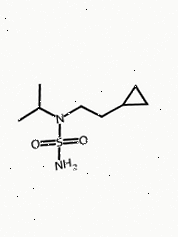 CC(C)N(CCC1CC1)S(N)(=O)=O